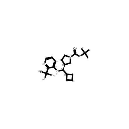 CC(C)(C)OC(=O)N1CC[C@H](C(Oc2cccnc2C(F)(F)F)C2CCC2)C1